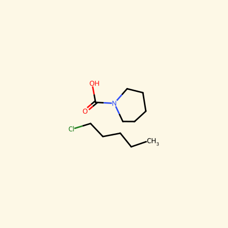 CCCCCCl.O=C(O)N1CCCCC1